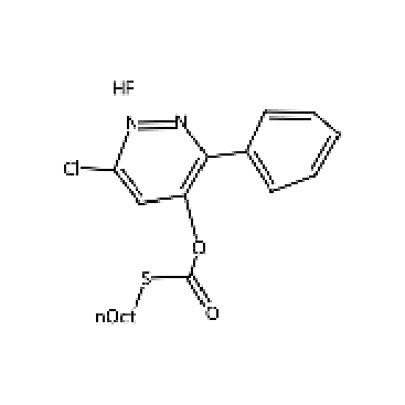 CCCCCCCCSC(=O)Oc1cc(Cl)nnc1-c1ccccc1.F